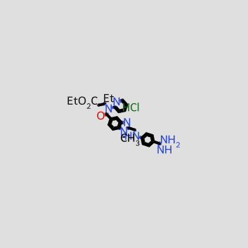 CCOC(=O)CC(CC)N(C(=O)c1ccc2c(c1)nc(CNc1ccc(C(=N)N)cc1)n2C)c1ccccn1.Cl